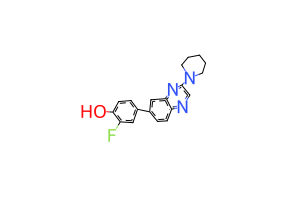 Oc1ccc(-c2ccc3ncc(N4CCCCC4)nc3c2)cc1F